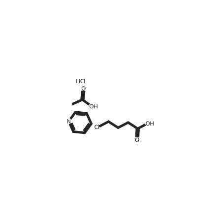 CC(=O)O.Cl.O=C(O)CCCCl.c1ccncc1